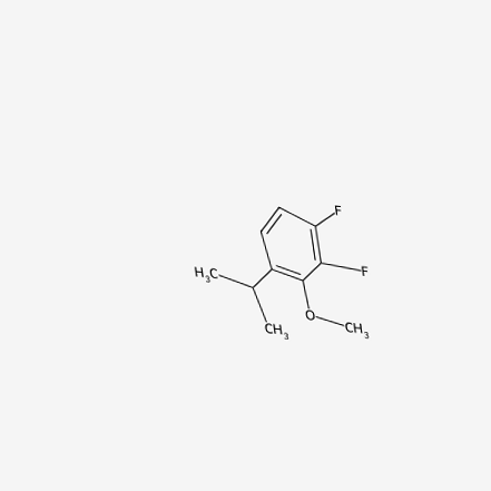 COc1c(C(C)C)ccc(F)c1F